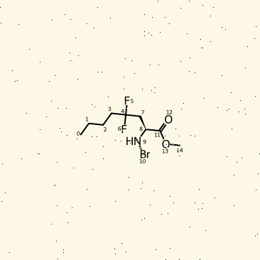 CCCCC(F)(F)C[C@H](NBr)C(=O)OC